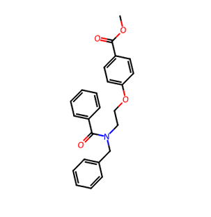 COC(=O)c1ccc(OCCN(Cc2ccccc2)C(=O)c2ccccc2)cc1